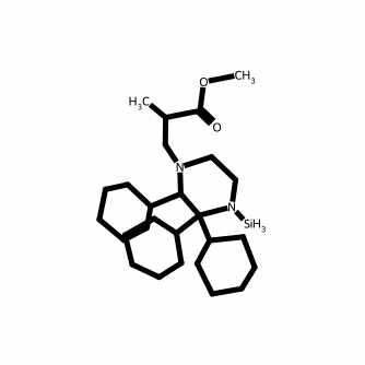 COC(=O)C(C)CN1CCN([SiH3])C(C2CCCCC2)(C2CCCCC2)C1C1CCCCC1